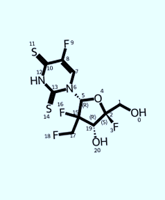 OC[C@@]1(F)O[C@@H](n2cc(F)c(=S)[nH]c2=S)C(F)(CF)[C@H]1O